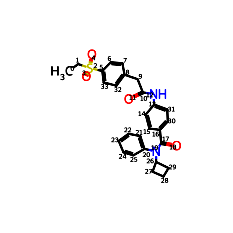 CCS(=O)(=O)c1ccc(CC(=O)Nc2ccc(C(=O)N(c3ccccc3)C3CCC3)cc2)cc1